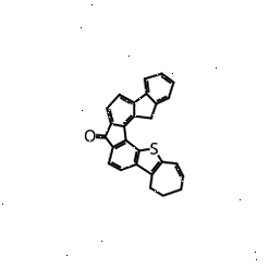 O=C1c2ccc3c(c2-c2c1ccc1c4c(sc21)C=CCCC4)Cc1ccccc1-3